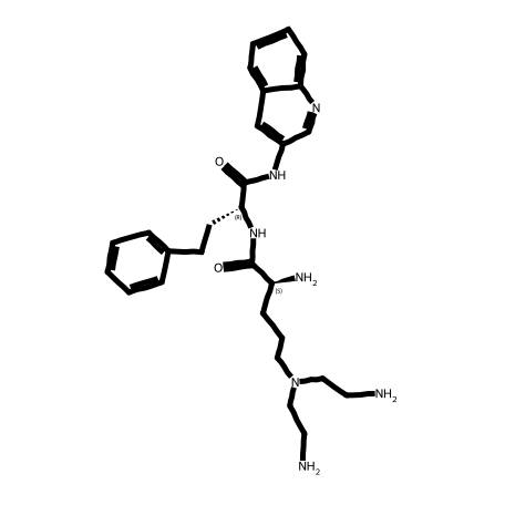 NCCN(CCN)CCC[C@H](N)C(=O)N[C@H](CCc1ccccc1)C(=O)Nc1cnc2ccccc2c1